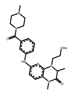 COCCN1c2nc(Nc3cccc(C(=O)N4CCN(C)CC4)c3)ccc2N(C)C(=O)C1C